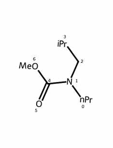 CCCN(CC(C)C)C(=O)OC